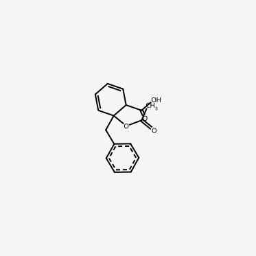 CC(=O)OC1(Cc2ccccc2)C=CC=CC1C(=O)O